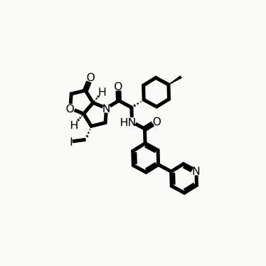 C[C@H]1CC[C@H](C(NC(=O)c2cccc(-c3cccnc3)c2)C(=O)N2C[C@H](CI)[C@H]3OCC(=O)[C@H]32)CC1